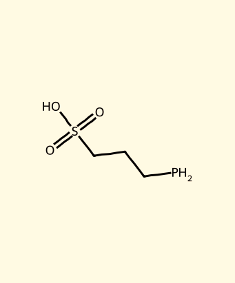 O=S(=O)(O)CCCP